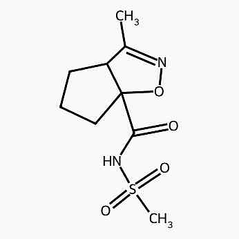 CC1=NOC2(C(=O)NS(C)(=O)=O)CCCC12